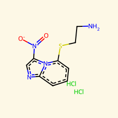 Cl.Cl.NCCSc1cccc2ncc([N+](=O)[O-])n12